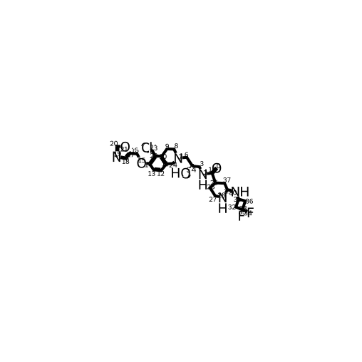 O=C(NC[C@H](O)CN1CCc2c(ccc(OCc3cnco3)c2Cl)C1)C1CCNC(NC2CC(F)(F)C2)C1